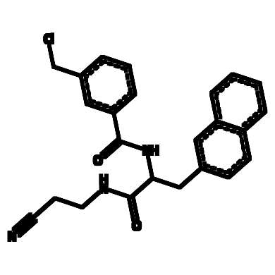 N#CCCNC(=O)C(Cc1ccc2ccccc2c1)NC(=O)c1cccc(CCl)c1